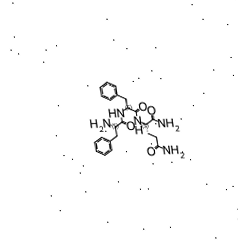 NC(=O)CC[C@H](NC(=O)[C@H](Cc1ccccc1)NC(=O)[C@@H](N)Cc1ccccc1)C(N)=O